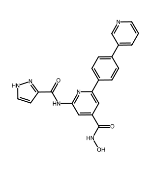 O=C(NO)c1cc(NC(=O)c2cc[nH]n2)nc(-c2ccc(-c3cccnc3)cc2)c1